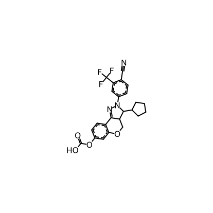 N#Cc1ccc(N2N=C3c4ccc(OC(=O)O)cc4OCC3C2C2CCCC2)cc1C(F)(F)F